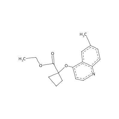 CCOC(=O)C1(Oc2ccnc3ccc(C)cc23)CCC1